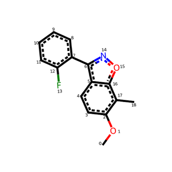 COc1ccc2c(-c3ccccc3F)noc2c1C